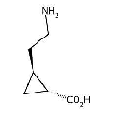 NCC[C@@H]1C[C@H]1C(=O)O